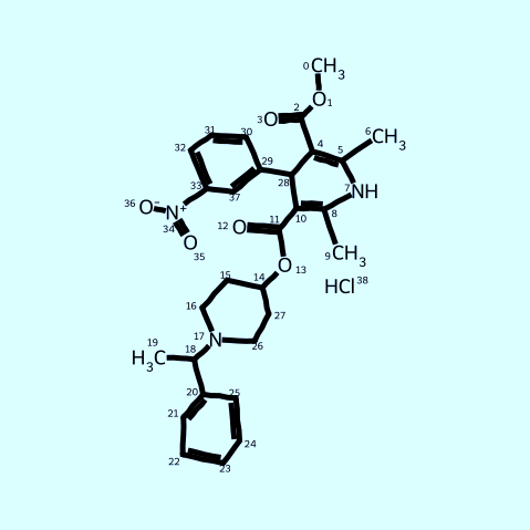 COC(=O)C1=C(C)NC(C)=C(C(=O)OC2CCN(C(C)c3ccccc3)CC2)C1c1cccc([N+](=O)[O-])c1.Cl